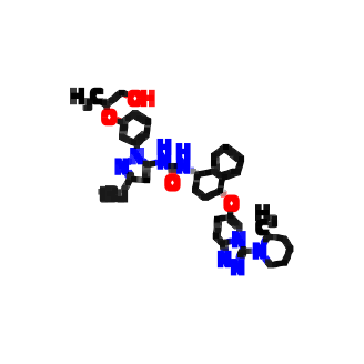 C[C@@H](CO)Oc1cccc(-n2nc(C(C)(C)C)cc2NC(=O)N[C@H]2CC[C@@H](Oc3ccc4nnc(N5CCCC[C@@H]5C)n4c3)c3ccccc32)c1